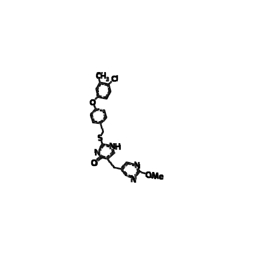 COc1ncc(Cc2c[nH]c(SCc3ccc(Oc4ccc(Cl)c(C)c4)cc3)nc2=O)cn1